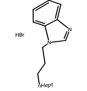 Br.CCCCCCCCCCn1cnc2ccccc21